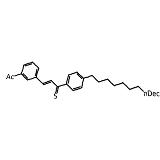 CCCCCCCCCCCCCCCCCc1ccc(C(=S)C=Cc2cccc(C(C)=O)c2)cc1